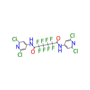 O=C(Nc1cc(Cl)nc(Cl)c1)C(F)(F)C(F)(F)C(F)(F)C(F)(F)C(=O)Nc1cc(Cl)nc(Cl)c1